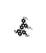 Cc1ccc(C(=Cc2ccc(N(c3ccc(CO)cc3)c3ccc(C=O)c4ccccc34)cc2)c2ccc(C)cc2)cc1